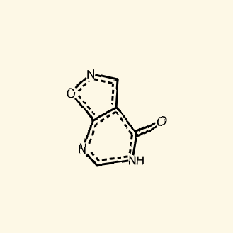 O=c1[nH]cnc2oncc12